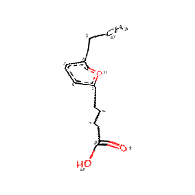 CCc1ccc(CCC(=O)O)o1